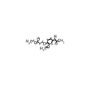 CCOC(=O)CCOc1ccc(NC(C)=O)cc1OC